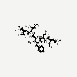 CCC(NC(=O)C(N)CC(C)C)C(=O)N[C@@H](Cc1ccccc1)[C@@H](N)CC(=O)N[C@H](C(=O)NC(C(=O)O)C(C)C)[C@@H](C)CC